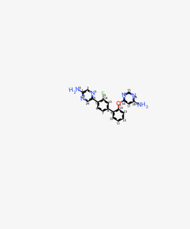 Nc1cnc(-c2ccc(-c3ccccc3Oc3cc(N)ncn3)cc2F)cn1